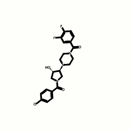 O=C(c1ccc(F)c(F)c1)N1CCN([C@H]2CN(C(=O)c3ccc(Cl)cc3)C[C@@H]2O)CC1